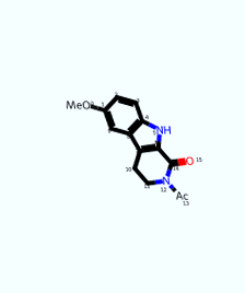 COc1ccc2[nH]c3c(c2c1)CCN(C(C)=O)C3=O